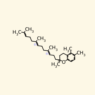 CC(C)=CCC/C(C)=C/CC/C(C)=C/CC[C@]1(C)CCc2c(ccc(C)c2C)O1